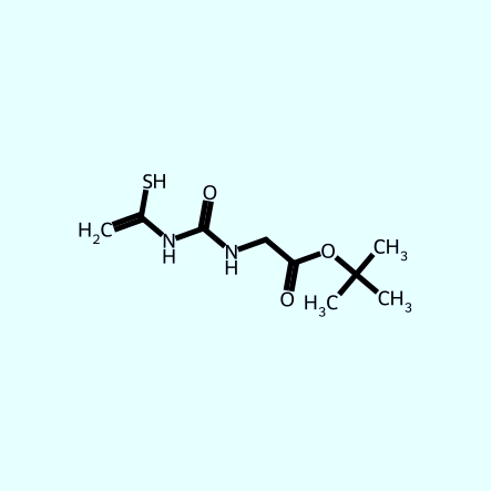 C=C(S)NC(=O)NCC(=O)OC(C)(C)C